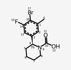 Cc1cc([C@@H]2CCCCN2C(=O)O)cc(F)c1Br